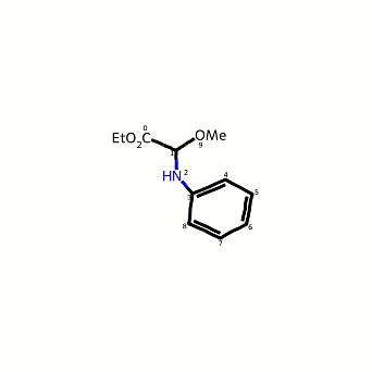 CCOC(=O)C(Nc1ccccc1)OC